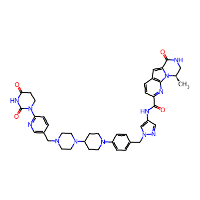 C[C@@H]1CNC(=O)c2cc3ccc(C(=O)Nc4cnn(Cc5ccc(N6CCC(N7CCN(Cc8ccc(N9CCC(=O)NC9=O)nc8)CC7)CC6)cc5)c4)nc3n21